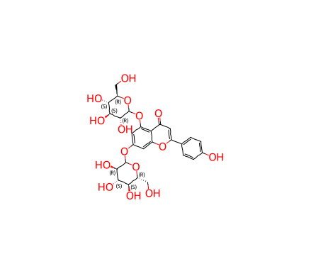 O=c1cc(-c2ccc(O)cc2)oc2cc(OC3O[C@H](CO)[C@@H](O)[C@H](O)[C@H]3O)cc(OC3O[C@H](CO)[C@@H](O)[C@H](O)[C@H]3O)c12